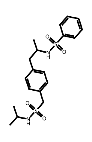 CC(C)NS(=O)(=O)Cc1ccc(CC(C)NS(=O)(=O)c2ccccc2)cc1